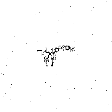 C#CCNC(=O)CCC(CCC(=O)NCC#C)(CCC(=O)NCC#C)NC(=O)C1CCC(OC(=O)Oc2ccc([N+](=O)[O-])cc2)CC1